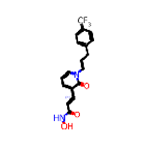 O=C(/C=C/c1cccn(CCCc2ccc(C(F)(F)F)cc2)c1=O)NO